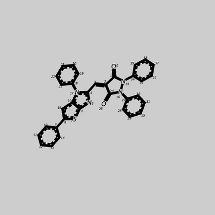 O=C1C(=Cc2nc3sc(-c4ccccc4)cc3n2-c2ccccc2)C(=O)N(c2ccccc2)N1c1ccccc1